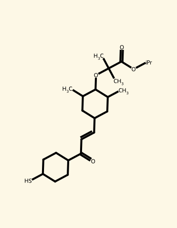 CC(C)OC(=O)C(C)(C)OC1C(C)CC(/C=C/C(=O)C2CCC(S)CC2)CC1C